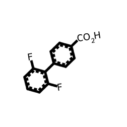 O=C(O)c1ccc(-c2c(F)cccc2F)cc1